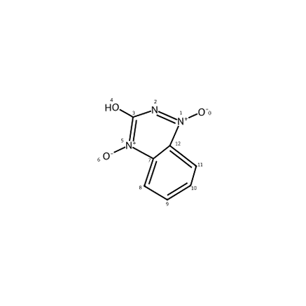 [O-][n+]1nc(O)[n+]([O-])c2ccccc21